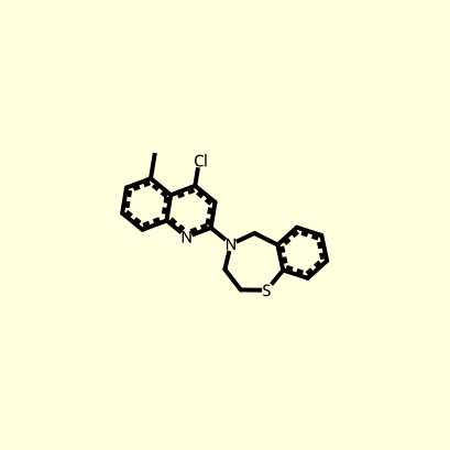 Cc1cccc2nc(N3CCSc4ccccc4C3)cc(Cl)c12